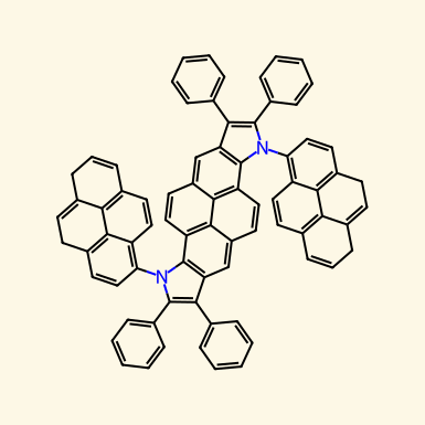 C1=Cc2ccc3c(-n4c(-c5ccccc5)c(-c5ccccc5)c5cc6ccc7c8c(ccc(c68)c54)cc4c(-c5ccccc5)c(-c5ccccc5)n(-c5ccc6c8c9c(ccc58)C=CCC9=CC6)c47)ccc4c3c2C(=CC4)C1